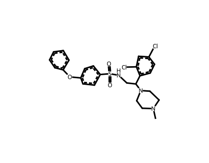 CN1CCN(C(CNS(=O)(=O)c2ccc(Oc3ccccc3)cc2)c2ccc(Cl)cc2Cl)CC1